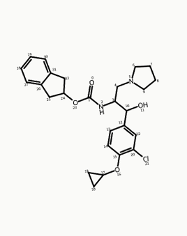 O=C(NC(CN1CCCC1)C(O)c1ccc(OC2CC2)c(Cl)c1)OC1Cc2ccccc2C1